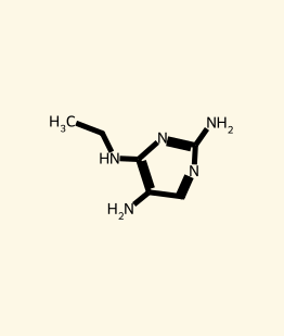 CCNc1nc(N)ncc1N